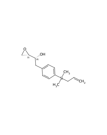 C=CC[Si](C)(C)c1ccc(C[C@@H](O)[C@@H]2CO2)cc1